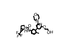 Cc1ccc(NC(=O)N2CCC3C2C3C(F)(F)F)cc1-c1cc(OCCO)nc(N2CCOCC2)c1